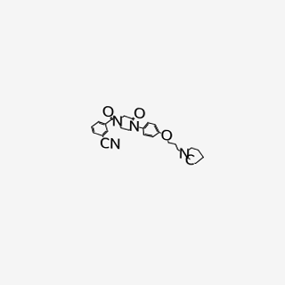 N#Cc1cccc(C(=O)N2CCN(c3ccc(OCCCN4CCCCC4)cc3)C(=O)C2)c1